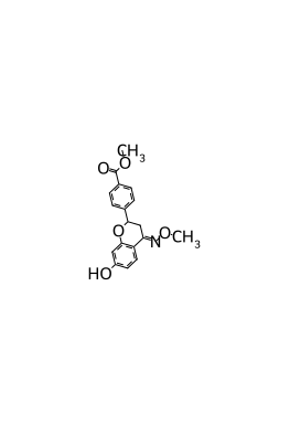 CO/N=C1\CC(c2ccc(C(=O)OC)cc2)Oc2cc(O)ccc21